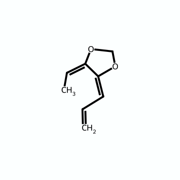 C=C/C=C1/OCO/C1=C/C